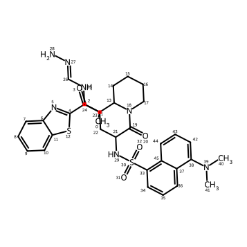 CC(C(=O)c1nc2ccccc2s1)C1CCCCN1C(=O)C(CCCNC=NN)NS(=O)(=O)c1cccc2c(N(C)C)cccc12